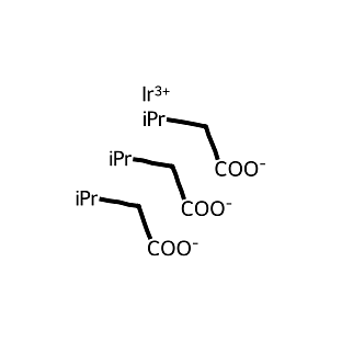 CC(C)CC(=O)[O-].CC(C)CC(=O)[O-].CC(C)CC(=O)[O-].[Ir+3]